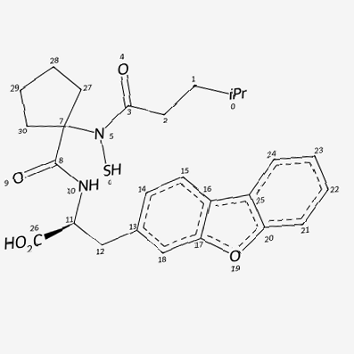 CC(C)CCC(=O)N(S)C1(C(=O)N[C@@H](Cc2ccc3c(c2)oc2ccccc23)C(=O)O)CCCC1